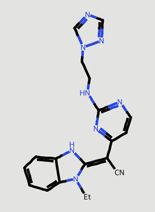 CCN1/C(=C(\C#N)c2ccnc(NCCn3cncn3)n2)Nc2ccccc21